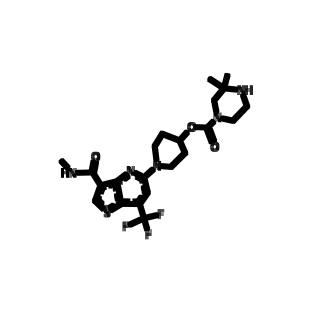 CNC(=O)c1csc2c(C(F)(F)F)cc(N3CCC(OC(=O)N4CCNC(C)(C)C4)CC3)nc12